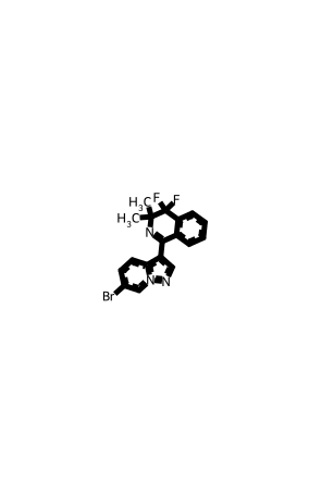 CC1(C)N=C(c2cnn3cc(Br)ccc23)c2ccccc2C1(F)F